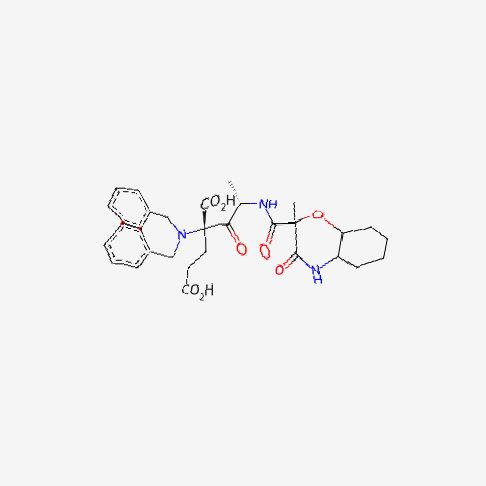 C[C@H](NC(=O)C1(C)OC2CCCCC2NC1=O)C(=O)[C@@](CCC(=O)O)(C(=O)O)N(Cc1ccccc1)Cc1ccccc1